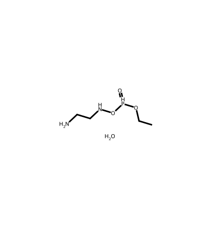 CCO[PH](=O)ONCCN.O